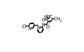 CC(C)/C=C(/C(=O)/N=c1\ccccn1Cc1ccc(Cl)nc1)[N+](=O)[O-]